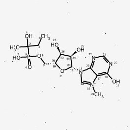 CCC(C)(O)P(=O)(O)OC[C@H]1O[C@@H](n2c[n+](C)c3c(O)ncnc32)[C@H](O)[C@@H]1O